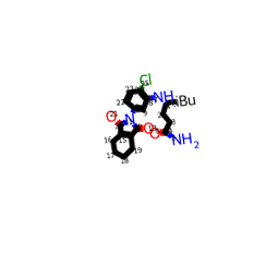 CCC(C)C(CCC(N)=O)Nc1cc(N2C(=O)C3=C(CCCC3)C2=O)ccc1Cl